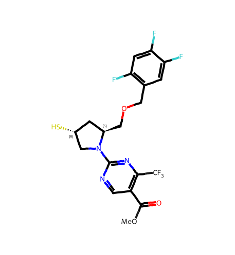 COC(=O)c1cnc(N2C[C@H](S)C[C@H]2COCc2cc(F)c(F)cc2F)nc1C(F)(F)F